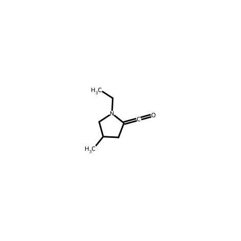 CCN1CC(C)CC1=C=O